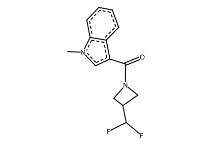 Cn1cc(C(=O)N2CC(C(F)F)C2)c2ccccc21